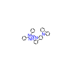 N=C(/N=C(\N=C\n1c2ccccc2c2ccc(N3c4ccccc4C4C=CC=CC43)cc21)c1ccccc1)c1ccccc1